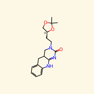 CC1(C)OC[C@H](CCN2CC3Cc4ccccc4NC3=NC2=O)O1